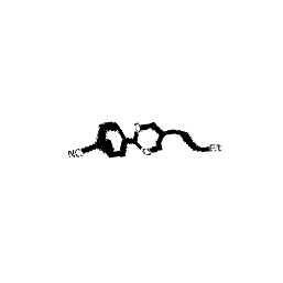 CC/C=C/C1COC(c2ccc(C#N)cc2)OC1